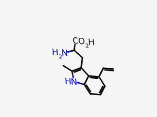 C=Cc1cccc2[nH]c(C)c(CC(N)C(=O)O)c12